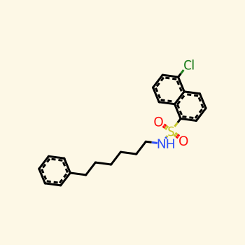 O=S(=O)(NCCCCCCc1ccccc1)c1cccc2c(Cl)cccc12